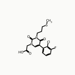 CSCCCn1c(=O)c(-c2cccc(F)c2Cl)cn(CC(=O)O)c1=O